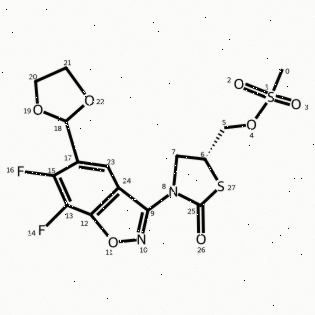 CS(=O)(=O)OC[C@H]1CN(c2noc3c(F)c(F)c(C4OCCO4)cc23)C(=O)S1